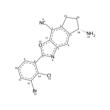 N#Cc1c2c(cc3nc(-c4cccc(Br)c4Cl)oc13)[C@@H](N)CC2